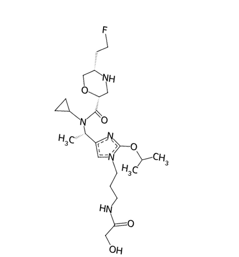 CC(C)Oc1nc([C@H](C)N(C(=O)[C@H]2CN[C@@H](CCF)CO2)C2CC2)cn1CCCNC(=O)CO